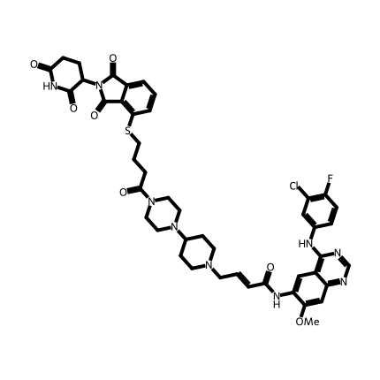 COc1cc2ncnc(Nc3ccc(F)c(Cl)c3)c2cc1NC(=O)/C=C/CN1CCC(N2CCN(C(=O)CCCSc3cccc4c3C(=O)N(C3CCC(=O)NC3=O)C4=O)CC2)CC1